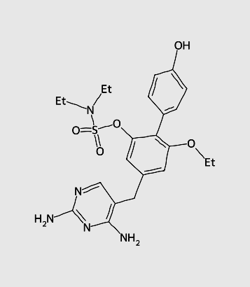 CCOc1cc(Cc2cnc(N)nc2N)cc(OS(=O)(=O)N(CC)CC)c1-c1ccc(O)cc1